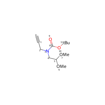 C#CCN(CC(OC)OC)C(=O)OC(C)(C)C